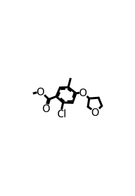 COC(=O)c1cc(C)c(OC2CCOC2)cc1Cl